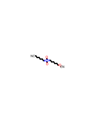 N#CCCCCCCN1C(=O)N(CCCCCCOC#N)C1=O